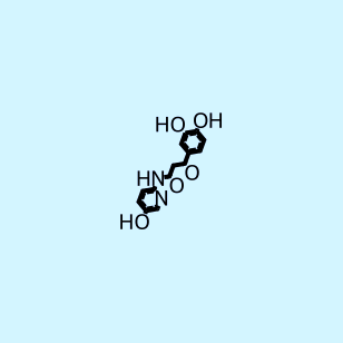 O=C(CC(=O)c1ccc(O)c(O)c1)Nc1ccc(O)cn1